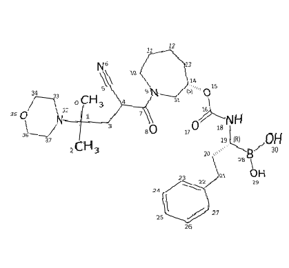 CC(C)(CC(C#N)C(=O)N1CCCC[C@H](OC(=O)N[C@@H](CCc2ccccc2)B(O)O)C1)N1CCOCC1